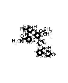 CNC(=O)c1ccccc1Nc1cc(Nc2cc(C)c(N3CCN(Cc4ccccc4N4CCC(=O)NC4=O)CC3)cc2OC(C)C)ncc1C(F)(F)F